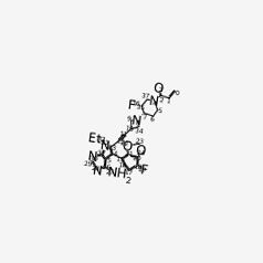 C=CC(=O)N1CC[C@H](N2CC(C#Cc3c(-c4ccc(F)c5c4OCO5)c4c(N)ncnc4n3CC)C2)[C@H](F)C1